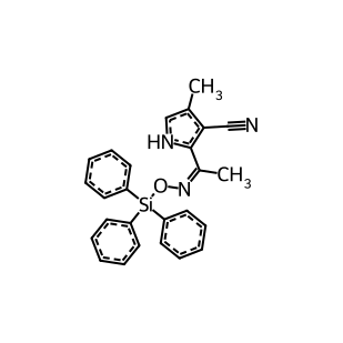 CC(=NO[Si](c1ccccc1)(c1ccccc1)c1ccccc1)c1[nH]cc(C)c1C#N